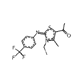 CCn1c(C)c(C(C)=O)sc1=Nc1ccc(C(F)(F)F)cc1